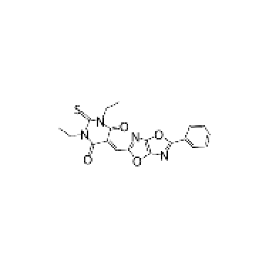 CCN1C(=O)C(=Cc2nc3oc(-c4ccccc4)nc3o2)C(=O)N(CC)C1=S